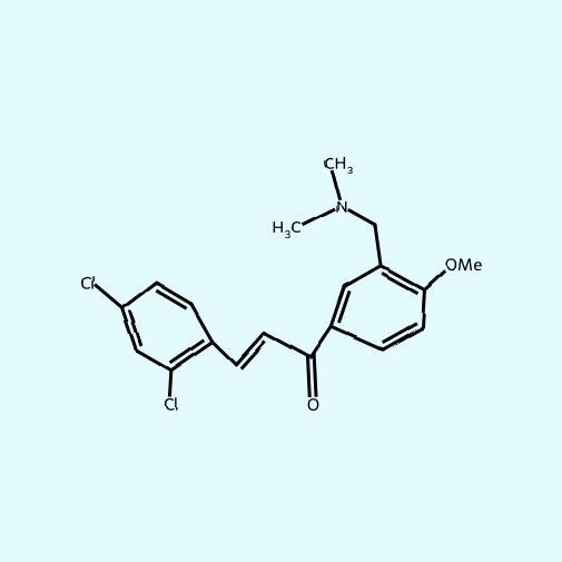 COc1ccc(C(=O)C=Cc2ccc(Cl)cc2Cl)cc1CN(C)C